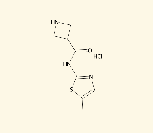 Cc1cnc(NC(=O)C2CNC2)s1.Cl